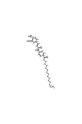 CCCCCCCCCCCCCCC(=O)c1ccc(NC(=O)/C=C/c2ccc(O)c(O)c2)cc1